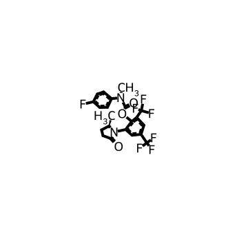 C[C@@H]1CCC(=O)N1c1cc(C(F)(F)F)cc(C(F)(F)F)c1OC(=O)N(C)c1ccc(F)cc1